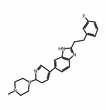 CN1CCN(C2CC=C(c3ccc4nc(CCc5cccc(F)c5)[nH]c4c3)C=N2)CC1